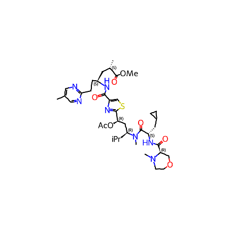 COC(=O)[C@@H](C)C[C@H](CCc1ncc(C)cn1)NC(=O)c1csc([C@@H](C[C@H](C(C)C)N(C)C(=O)[C@H](CC2CC2)NC(=O)[C@H]2COCCN2C)OC(C)=O)n1